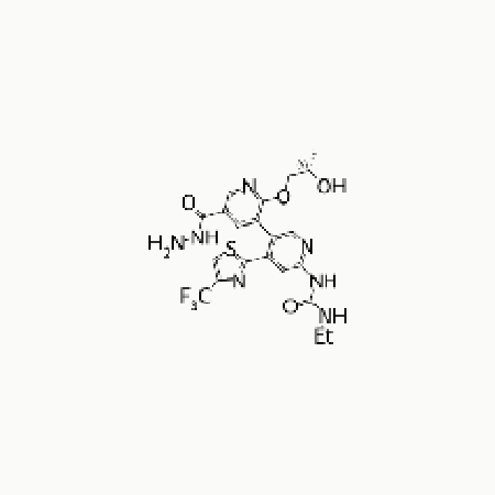 CCNC(=O)Nc1cc(-c2nc(C(F)(F)F)cs2)c(-c2cc(C(=O)NN)cnc2OC[C@H](C)O)cn1